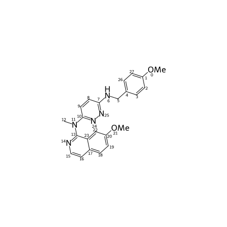 COc1ccc(CNc2ccc(N(C)c3nccc4ccc(OC)cc34)nn2)cc1